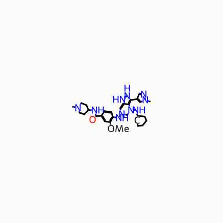 COc1cc(C(=O)NC2CCN(C)CC2)ccc1NN1C=C2NNC(c3cnn(C)c3)=C2N(NC2CCCCC2)C1